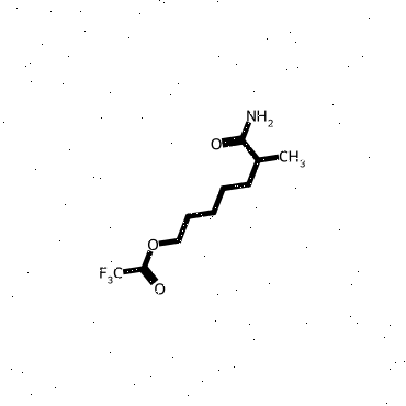 CC(CCCCCOC(=O)C(F)(F)F)C(N)=O